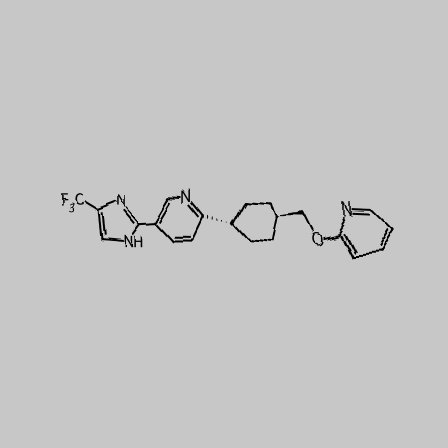 FC(F)(F)c1c[nH]c(-c2ccc([C@H]3CC[C@H](COc4ccccn4)CC3)nc2)n1